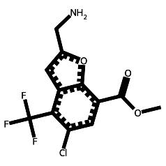 COC(=O)c1cc(Cl)c(C(F)(F)F)c2cc(CN)oc12